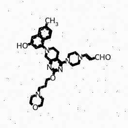 Cc1ccc2c(N3CCc4c(nc(OCCCN5CCOCC5)nc4N4CCN(C=CC=O)CC4)C3)cc(O)cc2c1